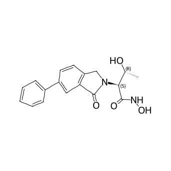 C[C@@H](O)[C@@H](C(=O)NO)N1Cc2ccc(-c3ccccc3)cc2C1=O